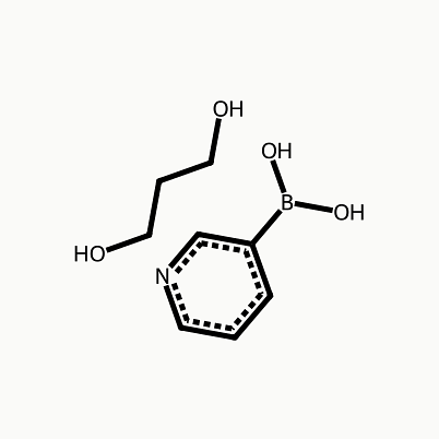 OB(O)c1cccnc1.OCCCO